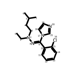 CCN(CCC(C)C)N=C(c1ccccc1Cl)n1ccnc1